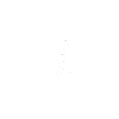 COc1cc(C(=O)NCC(O)(c2cc3c(c(-c4ccc(F)c(Cl)c4)n2)OC[C@]3(C(N)=O)C(F)F)C(F)(F)F)cc2cn(C3CC3)nc12